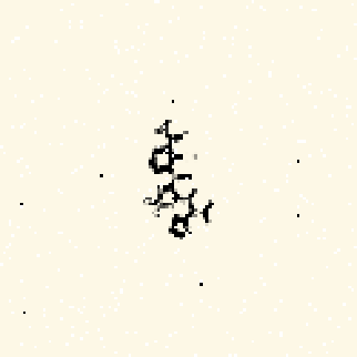 CC(C)[C@H](c1cccs1)N(C)C1=NS(=O)(=O)N=C1N(C)c1cccc(C(=O)N(C)C)c1O